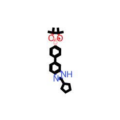 CC1(C)OB(c2ccc(-c3ccc4nc(C5CCCC5)[nH]c4c3)cc2)OC1(C)C